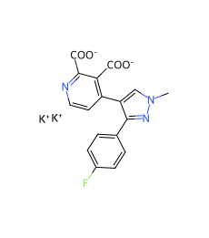 Cn1cc(-c2ccnc(C(=O)[O-])c2C(=O)[O-])c(-c2ccc(F)cc2)n1.[K+].[K+]